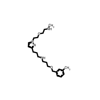 CNCCOCCn1ccc(CCCNCCCOCc2cccc(C)c2)n1